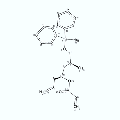 C=CC[C@@H](C[C@H](C)CO[Si](c1ccccc1)(c1ccccc1)C(C)(C)C)OC(=O)C=C